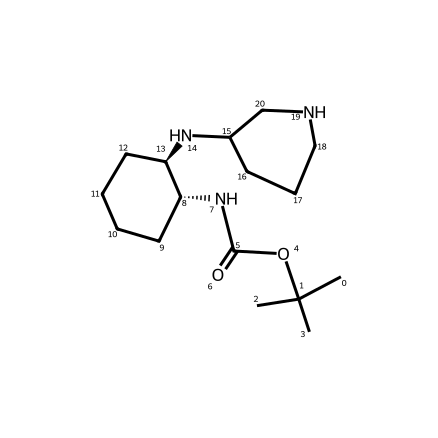 CC(C)(C)OC(=O)N[C@@H]1CCCC[C@H]1NC1CCCNC1